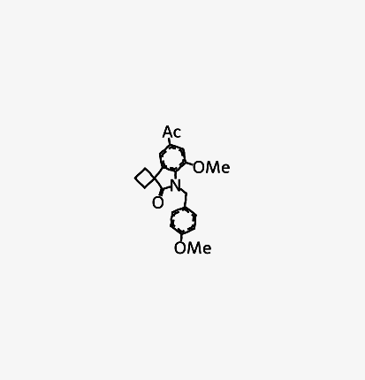 COc1ccc(CN2C(=O)C3(CCC3)c3cc(C(C)=O)cc(OC)c32)cc1